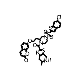 CC1Cc2nc(C(=O)N3CCN(S(=O)(=O)c4cc5ccc(Cl)cc5s4)CC3CCOc3ccc4ccc(=O)oc4c3)sc2CN1